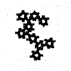 c1ccc(-c2cccc(N(c3ccccc3)c3ccc4c(c3)c3ccccc3n4-c3ccc(-c4nc(-c5ccccc5)nc(-c5ccccc5)n4)cc3)n2)cc1